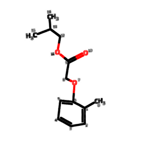 Cc1ccccc1OCC(=O)OCC(C)C